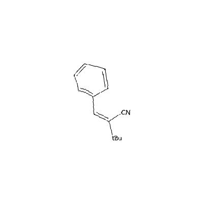 CC(C)(C)/C(C#N)=C/c1ccccc1